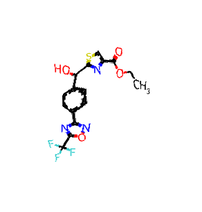 CCOC(=O)c1csc(C(O)c2ccc(-c3noc(C(F)(F)F)n3)cc2)n1